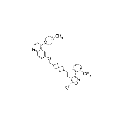 CN1CCN(c2ccnc3ccc(OCC4CC5(CC(/C=C/c6c(-c7ccccc7C(F)(F)F)noc6C6CC6)C5)C4)cc23)CC1